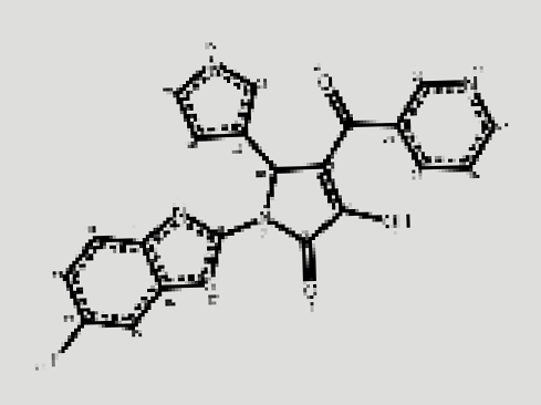 O=C(C1=C(O)C(=O)N(c2nc3ccc(F)cc3s2)C1c1ccsc1)c1cccnc1